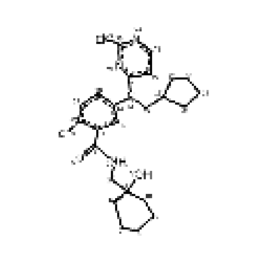 O=C(NCC1(O)CCCCC1)c1cc(N(CC2CCCC2)c2ccnc(Cl)n2)ccc1Cl